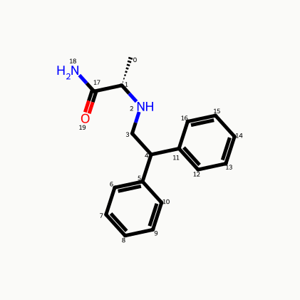 C[C@H](NCC(c1ccccc1)c1ccccc1)C(N)=O